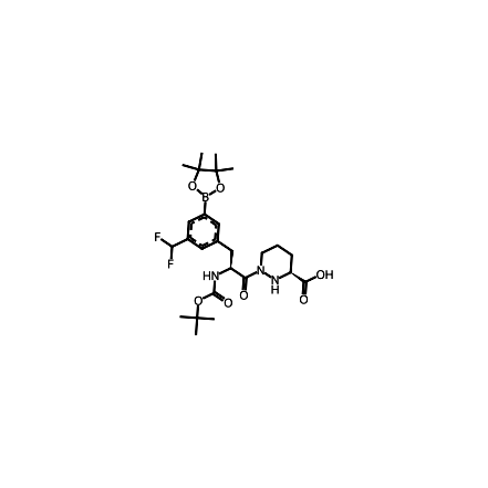 CC(C)(C)OC(=O)N[C@@H](Cc1cc(B2OC(C)(C)C(C)(C)O2)cc(C(F)F)c1)C(=O)N1CCC[C@@H](C(=O)O)N1